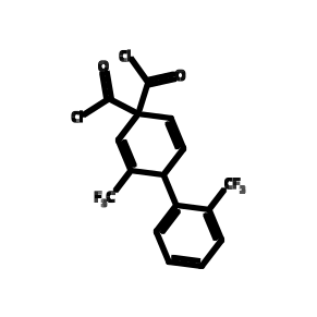 O=C(Cl)C1(C(=O)Cl)C=CC(c2ccccc2C(F)(F)F)C(C(F)(F)F)=C1